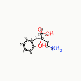 NCC[C@](O)(Cc1ccccc1)C(=O)O